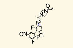 C=CC(=O)N1CCN(C(=C)S/N=C2\CC=C(Cl)C(c3cc(N=O)cc(F)c3F)=C2F)CC1